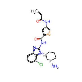 C=CC(=O)Nc1csc(C(=O)Nc2nc3cccc(Cl)c3n2[C@@H]2CCC[C@H](N)C2)c1